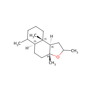 CC1C[C@@H]2[C@@]3(C)CCCC(C)[C@@H]3CC[C@@]2(C)O1